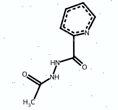 CC(=O)NNC(=O)c1ccccn1